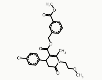 COCCN1C(=O)CC(c2ccc(Cl)cc2)C(C(=O)OCc2cccc(C(=O)OC)c2)=C1C